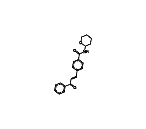 O=C(C=Cc1ccc(C(=O)NC2CCCCO2)cc1)c1ccccc1